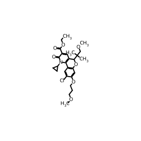 CCOC(=O)c1cc2c(n(C3CC3)c1=O)-c1cc(Cl)c(OCCCOC)cc1OC2C(C)(C)COC